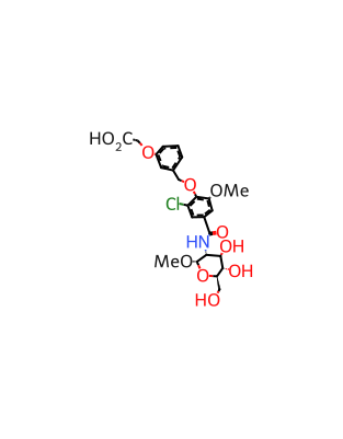 COc1cc(C(=O)N[C@H]2[C@@H](OC)O[C@H](CO)[C@@H](O)[C@@H]2O)cc(Cl)c1OCc1cccc(OCC(=O)O)c1